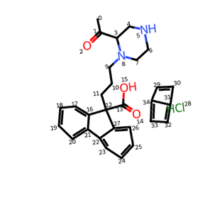 CC(=O)C1CNCCN1CCCC1(C(=O)O)c2ccccc2-c2ccccc21.Cl.c1cc2ccc1-2